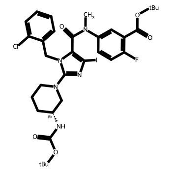 CN(C(=O)c1c(I)nc(N2CCC[C@@H](NC(=O)OC(C)(C)C)C2)n1Cc1ccccc1Cl)c1ccc(F)c(C(=O)OC(C)(C)C)c1